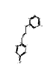 Brc1ccc(OCCc2ccccc2)cc1